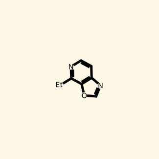 CCc1nccc2ncoc12